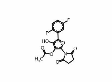 CC(=O)Oc1c(N2C(=O)CCC2=O)oc(-c2cc(F)ccc2F)c1O